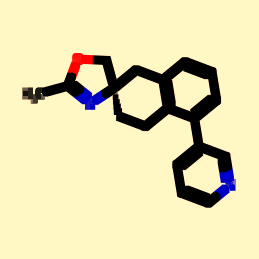 CC1=N[C@@]2(CCc3c(cccc3-c3cccnc3)C2)CO1